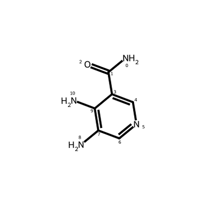 NC(=O)c1cncc(N)c1N